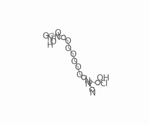 O=C1CCC(N2Cc3cc(OCCOCCOCCOCCOCCOc4ccc(-n5cc(-c6ccc(Cl)c(O)c6)c(-c6ccncc6)n5)cc4)ccc3C2=O)C(=O)N1